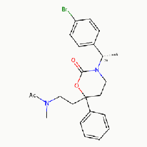 CC(=O)N(C)CCC1(c2ccccc2)CCN([C@@H](C)c2ccc(Br)cc2)C(=O)O1